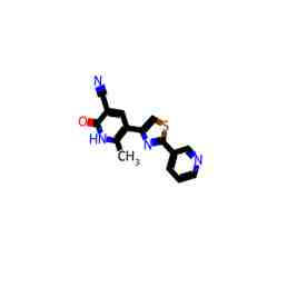 Cc1[nH]c(=O)c(C#N)cc1-c1csc(-c2cccnc2)n1